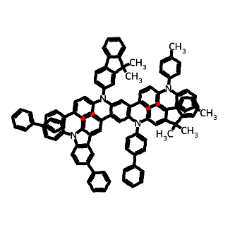 Cc1ccc(N(c2ccc(C)cc2)c2ccc(-c3cc(N(c4ccc(-c5ccccc5)cc4)c4ccc5c(c4)C(C)(C)c4ccccc4-5)c(-c4ccc5c(c4)c4cc(-c6ccccc6)ccc4n5-c4ccc(-c5ccccc5)cc4)cc3N(c3ccc(-c4ccccc4)cc3)c3ccc4c(c3)C(C)(C)c3ccccc3-4)cc2)cc1